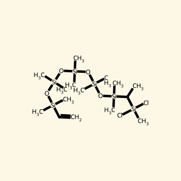 C=C[Si](C)(C)O[Si](C)(C)O[Si](C)(C)O[Si](C)(C)O[Si](C)(C)C(C)[Si](C)(Cl)Cl